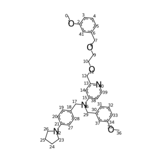 COc1cccc(COCCOCc2cc(N(Cc3ccc(N4CCCC4)cc3)Cc3cccc(OC)c3)ccn2)c1